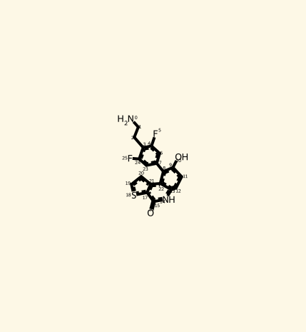 NCCc1c(F)cc(-c2c(O)ccc3[nH]c(=O)c4sccc4c23)cc1F